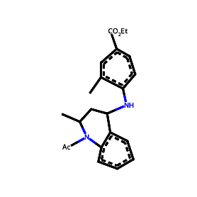 CCOC(=O)c1ccc(NC2CC(C)N(C(C)=O)c3ccccc32)c(C)c1